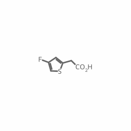 O=C(O)Cc1cc(F)cs1